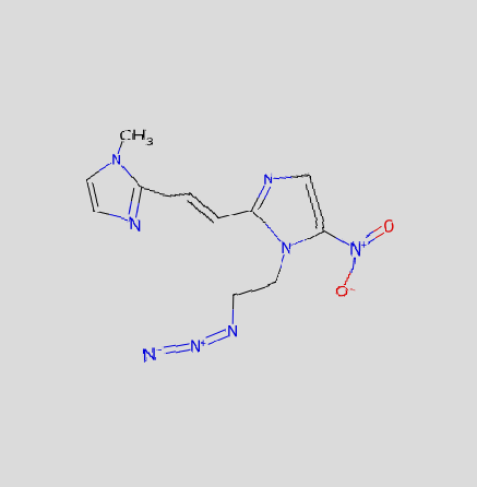 Cn1ccnc1/C=C/c1ncc([N+](=O)[O-])n1CCN=[N+]=[N-]